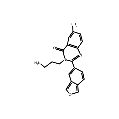 Cc1ccc2nc(-c3ccc4cocc4c3)n(CCCN)c(=O)c2c1